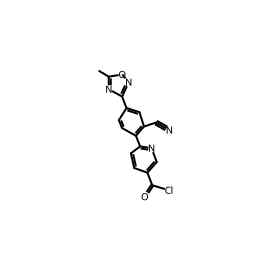 Cc1nc(-c2ccc(-c3ccc(C(=O)Cl)cn3)c(C#N)c2)no1